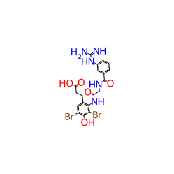 N=C(N)Nc1cccc(C(=O)NCC(=O)Nc2c(CCC(=O)O)cc(Br)c(O)c2Br)c1